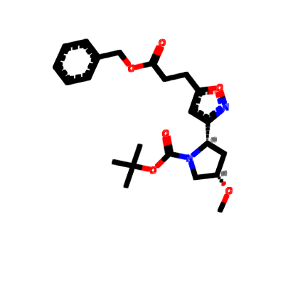 CO[C@H]1C[C@@H](c2cc(CCC(=O)OCc3ccccc3)on2)N(C(=O)OC(C)(C)C)C1